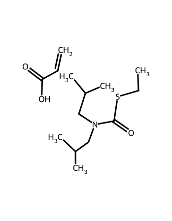 C=CC(=O)O.CCSC(=O)N(CC(C)C)CC(C)C